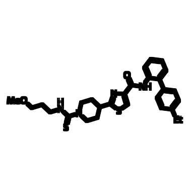 CCc1ccc(-c2ccccc2NC(=O)c2csc(C3CCN(C(=S)NCCCOC)CC3)n2)cc1